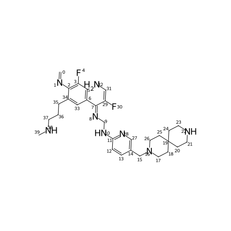 C=Nc1c(F)cc(C(=N/CNc2ccc(CN3CCC4(CCNCC4)CC3)cn2)/C(F)=C\N)cc1CCCNC